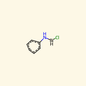 [Cl][BiH][NH]c1ccccc1